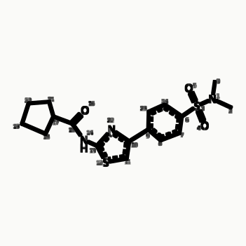 CN(C)S(=O)(=O)c1ccc(-c2csc(NC(=O)C3CCCC3)n2)cc1